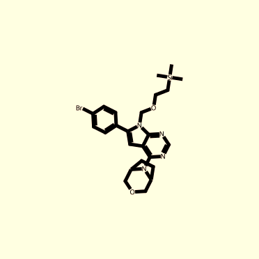 C[Si](C)(C)CCOCn1c(-c2ccc(Br)cc2)cc2c(N3C4CCC3COC4)ncnc21